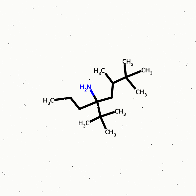 CCCC(N)(CC(C)C(C)(C)C)C(C)(C)C